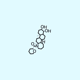 C[C@]12CC[C@H](O)[C@H](O)C1CC[C@@H]1C2CC[C@@]2(C)C1CCCCN2C(=O)[C@H]1CCCCO1